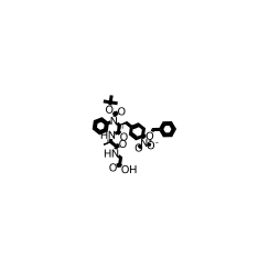 C[C@@H](NC(=O)[C@H](CC1=CCC(OCc2ccccc2)([N+](=O)[O-])C=C1)N(C(=O)OC(C)(C)C)c1ccccc1)C(=O)NCC(=O)O